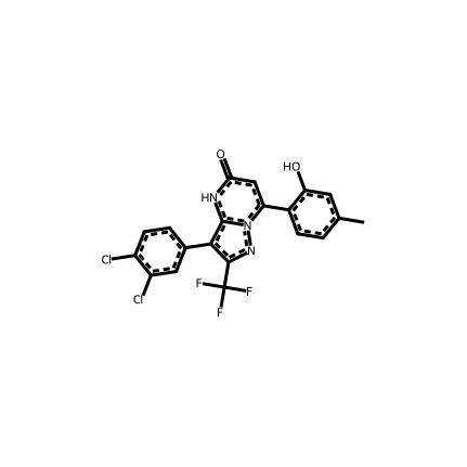 Cc1ccc(-c2cc(=O)[nH]c3c(-c4ccc(Cl)c(Cl)c4)c(C(F)(F)F)nn23)c(O)c1